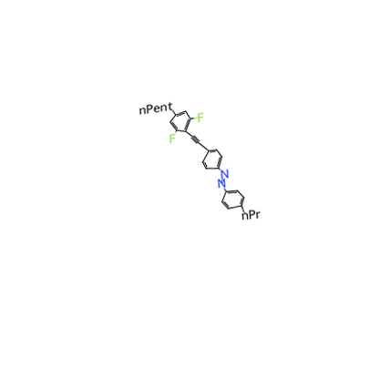 CCCCCc1cc(F)c(C#Cc2ccc(N=Nc3ccc(CCC)cc3)cc2)c(F)c1